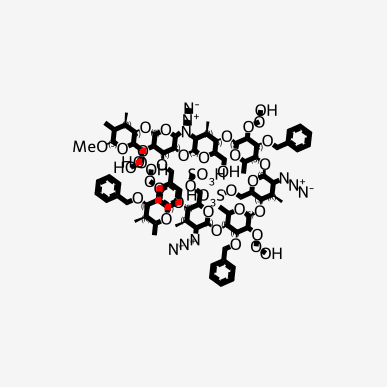 CO[C@H]1OC(CO)[C@@H](O[C@@H]2OC(C)[C@@H](O[C@@H]3OC(CO)[C@@H](O[C@@H]4OC(C)[C@H](O[C@@H]5OC(COS(=O)(=O)O)[C@@H](O[C@@H]6OC(C)[C@@H](O[C@@H]7OC(COS(=O)(=O)O)[C@@H](O[C@@H]8OC(C)[C@@H](C)[C@@H](OCc9ccccc9)C8OOO)[C@H](C)C7N=[N+]=[N-])[C@@H](OCc7ccccc7)C6OOO)[C@H](C)C5N=[N+]=[N-])[C@@H](OCc5ccccc5)C4OOO)[C@H](C)C3N=[N+]=[N-])[C@@H](OCc3ccccc3)C2OOO)[C@H](C)C1C